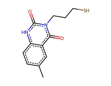 Cc1ccc2[nH]c(=O)n(CCCS)c(=O)c2c1